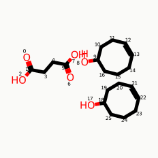 O=C(O)CCC(=O)O.OC1CCC=CCCC1.OC1CCC=CCCC1